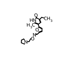 CCc1cc(-c2ccc(C=NOCCN3CCCC3)o2)c(C)[nH]c1=O